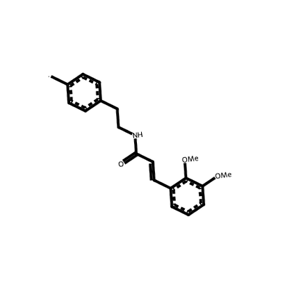 [CH2]c1ccc(CCNC(=O)C=Cc2cccc(OC)c2OC)cc1